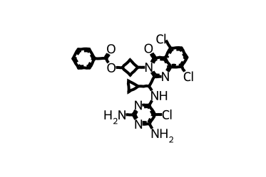 Nc1nc(N)c(Cl)c(NC(c2nc3c(Cl)ccc(Cl)c3c(=O)n2C2CC(OC(=O)c3ccccc3)C2)C2CC2)n1